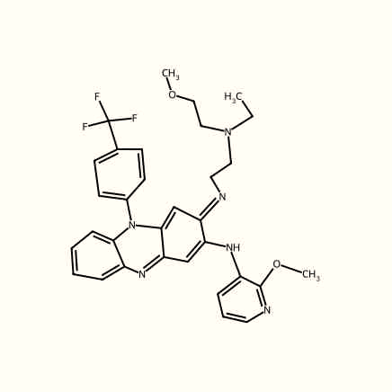 CCN(CC/N=c1\cc2n(-c3ccc(C(F)(F)F)cc3)c3ccccc3nc-2cc1Nc1cccnc1OC)CCOC